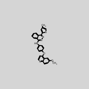 COc1ccc2nccc(Oc3ccc(Nc4nnc(-c5cc(C)cs5)c5ccccc45)cc3)c2c1